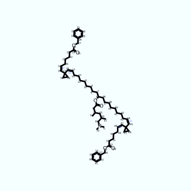 CC(CC(=O)OC(CCCCCCCC/C=C\C1(/C=C\CCCCC(=O)OCc2ccccc2)CC1)CCCCCCCC/C=C\C1(/C=C\CCCCC(=O)OCc2ccccc2)CC1)CC(C)CN(C)C